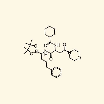 CC1(C)OB(C(CCCc2ccccc2)NC(=O)C(CC(=O)N2CCOCC2)NC(=O)C2CCCCC2)OC1(C)C